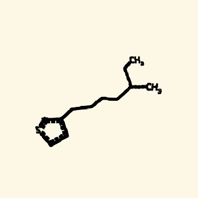 CCC(C)CCCCc1[c]scc1